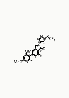 COc1cc(OC)c(-c2cc(C)c3c(c2)CN(c2cnn(CC(F)(F)F)c2)C3=O)cn1